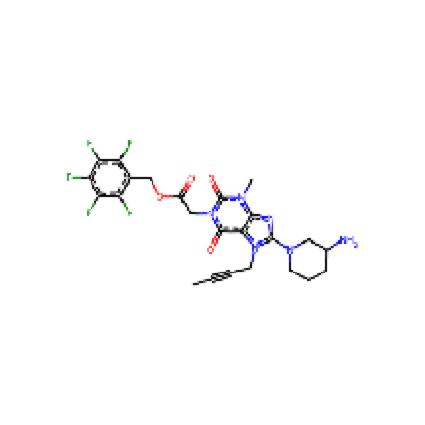 CC#CCn1c(N2CCCC(N)C2)nc2c1c(=O)n(CC(=O)OCc1c(F)c(F)c(F)c(F)c1F)c(=O)n2C